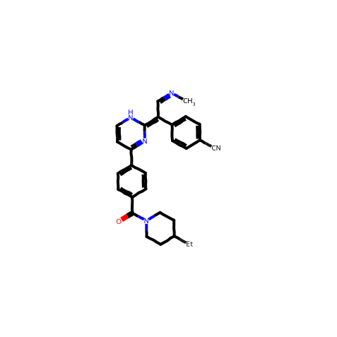 CCC1CCN(C(=O)c2ccc(C3=N/C(=C(/C=N\C)c4ccc(C#N)cc4)NC=C3)cc2)CC1